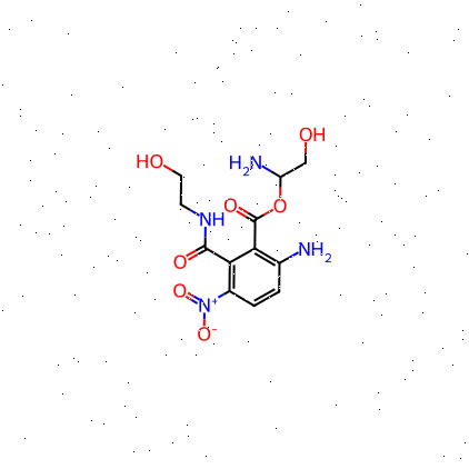 Nc1ccc([N+](=O)[O-])c(C(=O)NCCO)c1C(=O)OC(N)CO